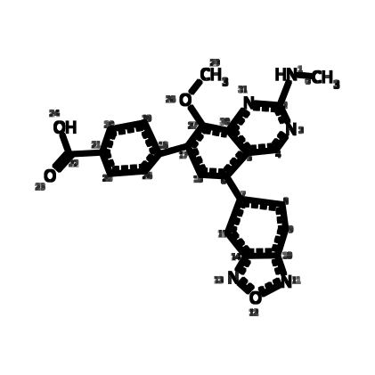 CNc1ncc2c(-c3ccc4nonc4c3)cc(-c3ccc(C(=O)O)cc3)c(OC)c2n1